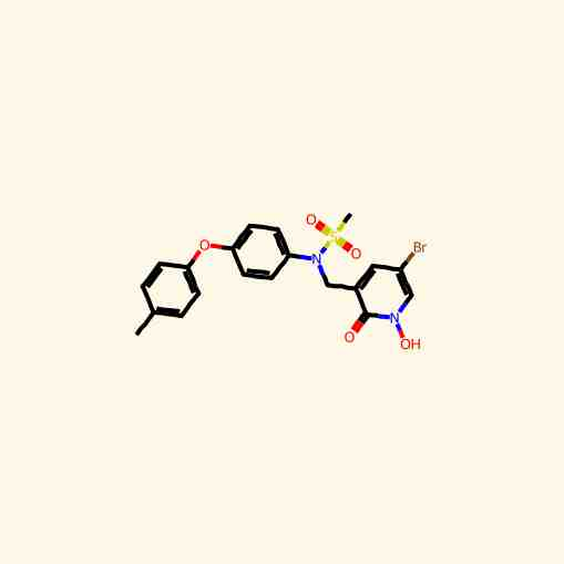 Cc1ccc(Oc2ccc(N(Cc3cc(Br)cn(O)c3=O)S(C)(=O)=O)cc2)cc1